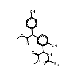 COC(=O)C(NC(N)=O)c1cc(C(C(=O)OC)c2ccc(O)cc2)ccc1O